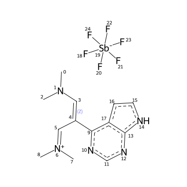 CN(C)/C=C(\C=[N+](C)C)c1ncnc2[nH]ccc12.[F][Sb-]([F])([F])([F])([F])[F]